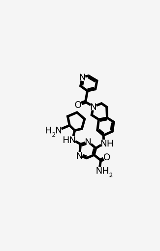 NC(=O)c1cnc(NC2CCCCC2N)nc1Nc1ccc2c(c1)CN(C(=O)c1cccnc1)CC2